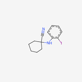 N#CC1(Nc2ccccc2I)CCCCC1